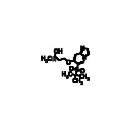 C[C@H](O)CCOc1cc2nccn2cc1S(=O)(=O)C(C)(C)C